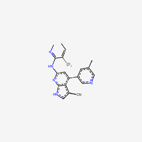 C/C=C(\C(=N/C)Nc1cc(-c2cncc(C)c2)c2c(C#N)c[nH]c2n1)C(F)(F)F